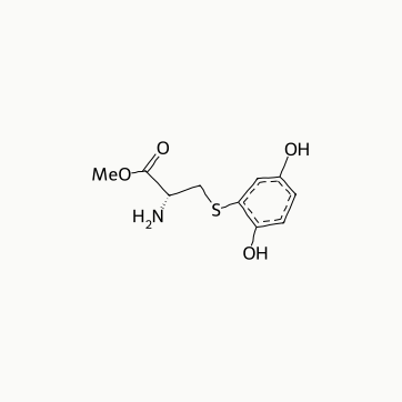 COC(=O)[C@@H](N)CSc1cc(O)ccc1O